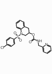 O=C(NCc1ccccn1)OC1Cc2ccccc2N(S(=O)(=O)c2ccc(Cl)cc2)C1